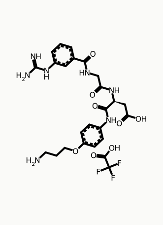 N=C(N)Nc1cccc(C(=O)NCC(=O)N[C@@H](CC(=O)O)C(=O)Nc2ccc(OCCCN)cc2)c1.O=C(O)C(F)(F)F